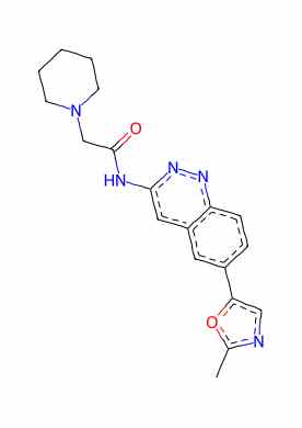 Cc1ncc(-c2ccc3nnc(NC(=O)CN4CCCCC4)cc3c2)o1